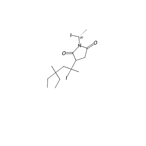 CCC(C)(CC)CC(C)(I)C1CC(=O)N([C@@H](C)I)C1=O